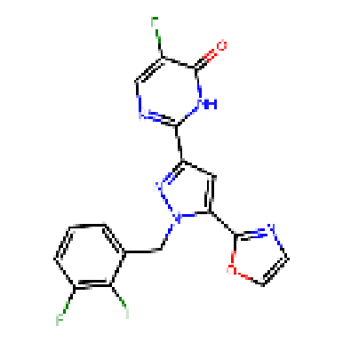 O=c1[nH]c(-c2cc(-c3ncco3)n(Cc3cccc(F)c3F)n2)ncc1F